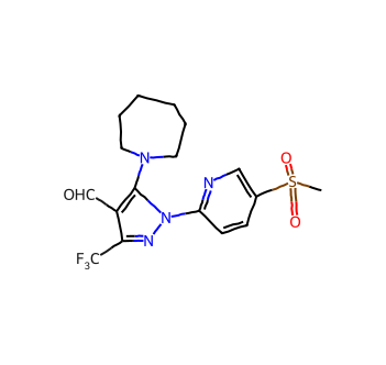 CS(=O)(=O)c1ccc(-n2nc(C(F)(F)F)c(C=O)c2N2CCCCCC2)nc1